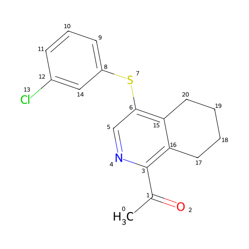 CC(=O)c1ncc(Sc2cccc(Cl)c2)c2c1CCCC2